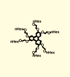 CCCCCCOCCOc1cc2c3cc(OCCOCCCCCC)c(OCCOCCCCCC)cc3c3cc(OCCOCCCCCC)c(OCCOCCCCCC)cc3c2cc1OCCOCCCCCC